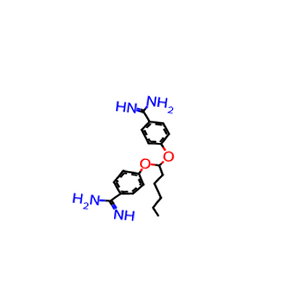 CCCCCC(Oc1ccc(C(=N)N)cc1)Oc1ccc(C(=N)N)cc1